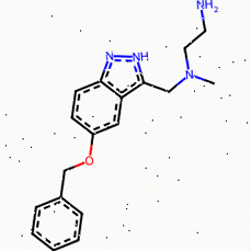 CN(CCN)Cc1[nH]nc2ccc(OCc3ccccc3)cc12